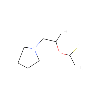 CC(S)OC(C)CN1CCCC1